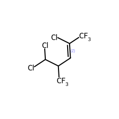 FC(F)(F)/C(Cl)=C/C(C(Cl)Cl)C(F)(F)F